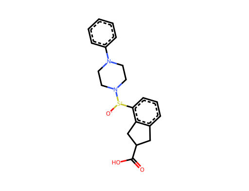 O=C(O)C1Cc2cccc([S+]([O-])N3CCN(c4ccccc4)CC3)c2C1